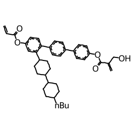 C=CC(=O)Oc1ccc(-c2ccc(-c3ccc(OC(=O)C(=C)CO)cc3)cc2)c(C2CCC(C3CCC(CCCC)CC3)CC2)c1